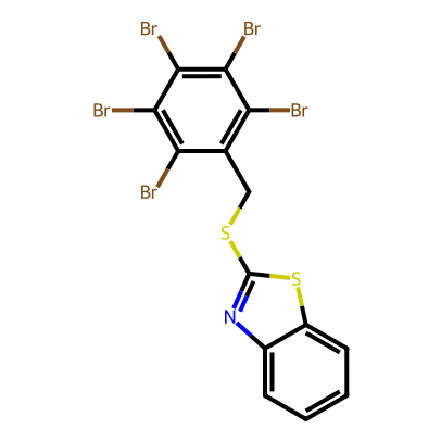 Brc1c(Br)c(Br)c(CSc2nc3ccccc3s2)c(Br)c1Br